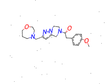 COc1ccc(CC(=O)N2CCn3nc(CN4CCCOCC4)cc3C2)cc1